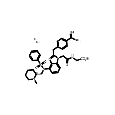 CCOC(=O)CNC(=O)Cn1c(Cc2ccc(C(=N)N)cc2)nc2c(N(C[C@@H]3CCCCN3C)S(=O)(=O)c3ccccc3)cccc21.Cl.Cl